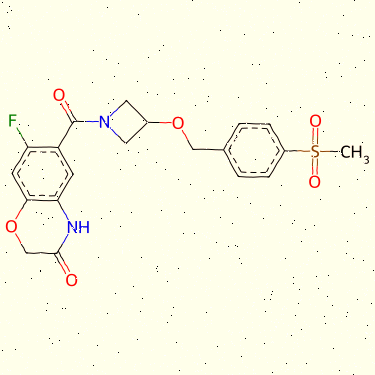 CS(=O)(=O)c1ccc(COC2CN(C(=O)c3cc4c(cc3F)OCC(=O)N4)C2)cc1